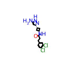 Nc1cc([C@H]2C[C@@H](NC(=O)CCc3ccc(Cl)c(Cl)c3)C2)n[nH]1